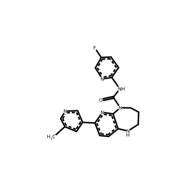 Cc1cncc(-c2ccc3c(n2)N(C(=O)Nc2ccc(F)cn2)CCCN3)c1